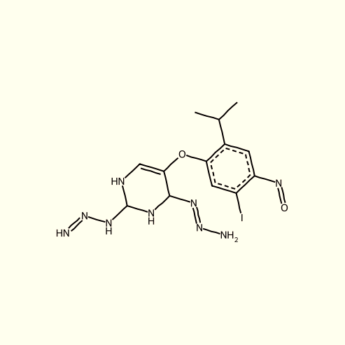 CC(C)c1cc(N=O)c(I)cc1OC1=CNC(NN=N)NC1N=NN